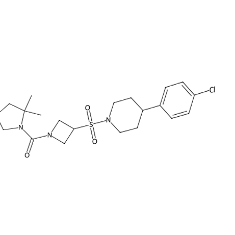 CC1(C)COCN1C(=O)N1CC(S(=O)(=O)N2CCC(c3ccc(Cl)cc3)CC2)C1